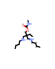 CCCCNCC(CC)(CNCCCC)COC(=O)NC